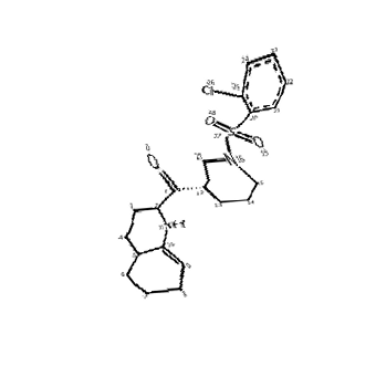 O=C(C1CCC2CCCC=C2N1)[C@H]1CCCN(S(=O)(=O)c2ccccc2Cl)C1